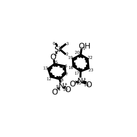 C[Si](C)(C)Oc1ccc([N+](=O)[O-])cc1.O=[N+]([O-])c1ccc(O)cc1